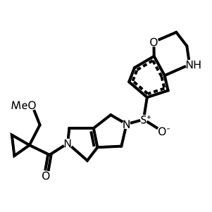 COCC1(C(=O)N2CC3=C(C2)CN([S+]([O-])c2ccc4c(c2)NCCO4)C3)CC1